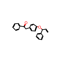 C=CC(Oc1ccc(CC(=O)c2ccccc2)cc1)c1ccccc1